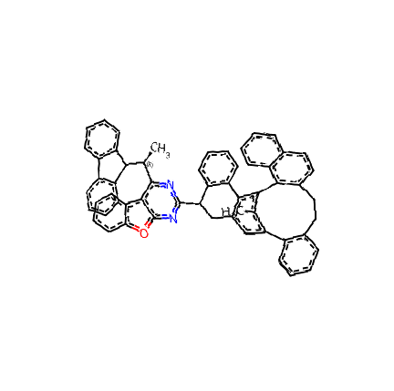 Cc1c2cc3c(c1-c1c(ccc4ccccc14)CCc1ccccc1-2)-c1ccccc1C(c1nc([C@H](C)C2c4ccccc4-c4ccccc42)c2c(n1)oc1ccccc12)C3